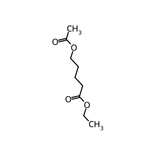 CCOC(=O)CCCCOC(C)=O